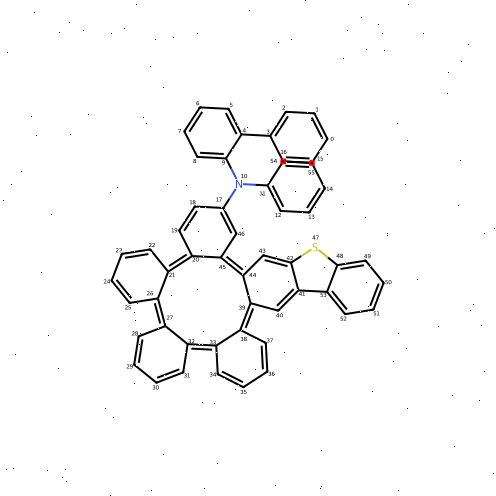 c1ccc(-c2ccccc2N(c2ccccc2)c2ccc3c4ccccc4c4ccccc4c4ccccc4c4cc5c(cc4c3c2)sc2ccccc25)cc1